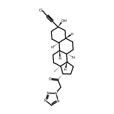 C[C@]12CC[C@H]3[C@@H](CC[C@H]4C[C@@](O)(C#CCl)CC[C@@H]43)[C@@H]1CC[C@@H]2C(=O)Cn1ncnn1